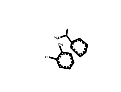 CC(N)c1ccccc1.Oc1ccccc1O